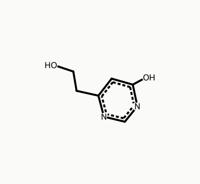 OCCc1cc(O)ncn1